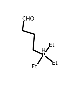 CC[PH](CC)(CC)CCCC=O